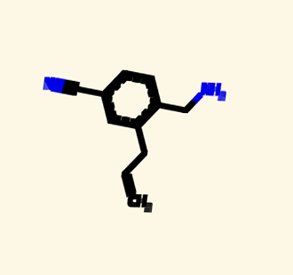 C=CCc1cc(C#N)ccc1CN